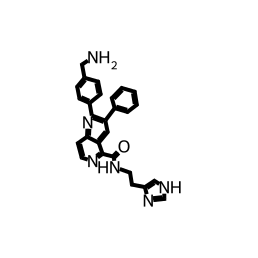 NCc1ccc(-c2nc3ccnc(C(=O)NCCc4c[nH]cn4)c3cc2-c2ccccc2)cc1